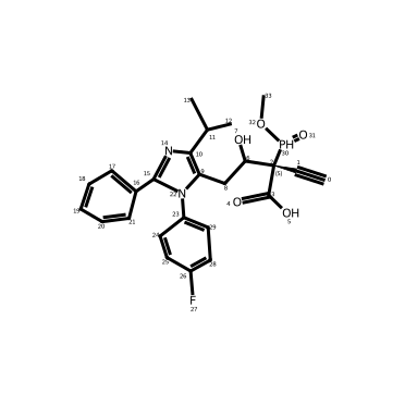 C#C[C@@](C(=O)O)(C(O)Cc1c(C(C)C)nc(-c2ccccc2)n1-c1ccc(F)cc1)[PH](=O)OC